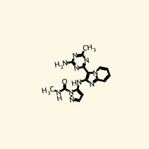 CNC(=O)n1nccc1Nc1nc2ccccn2c1-c1nc(C)nc(N)n1